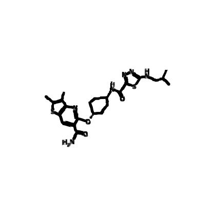 Cc1sc2cc(C(N)=O)c(O[C@H]3CC[C@H](NC(=O)c4nnc(NCC(C)C)s4)CC3)nc2c1C